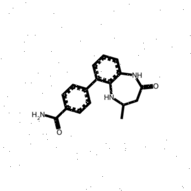 CC1CC(=O)Nc2cccc(-c3ccc(C(N)=O)cc3)c2N1